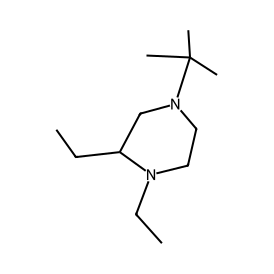 CCC1CN(C(C)(C)C)CCN1CC